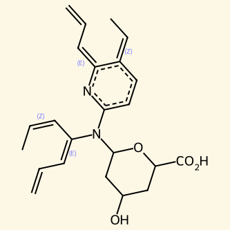 C=C/C=C(\C=C/C)N(c1ccc(=C/C)/c(=C\C=C)n1)C1CC(O)CC(C(=O)O)O1